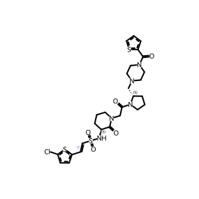 O=C(c1cccs1)N1CCN(C[C@@H]2CCCN2C(=O)CN2CCC[C@H](NS(=O)(=O)/C=C/c3ccc(Cl)s3)C2=O)CC1